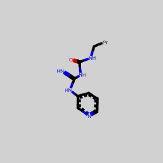 CC(C)CNC(=O)NC(=N)Nc1cccnc1